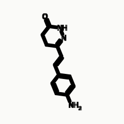 Nc1ccc(C=CC2=NNC(=O)CC2)cc1